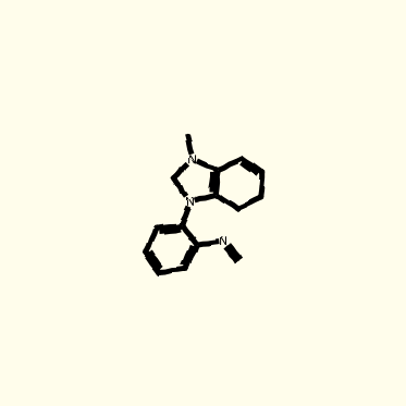 C=Nc1ccccc1N1CN(C)C2=C1CCC=C2